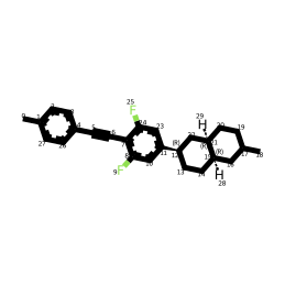 Cc1ccc(C#Cc2c(F)cc([C@@H]3CC[C@@H]4CC(C)CC[C@@H]4C3)cc2F)cc1